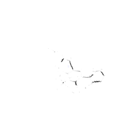 CCOC(=O)/C=C(\CC)CN(C(=O)OC(C)(C)C)c1ncccc1Br